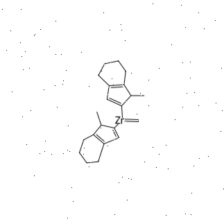 [CH2]=[Zr]([C]1=CC2=C(CCCC2)C1C)[C]1=CC2=C(CCCC2)C1C